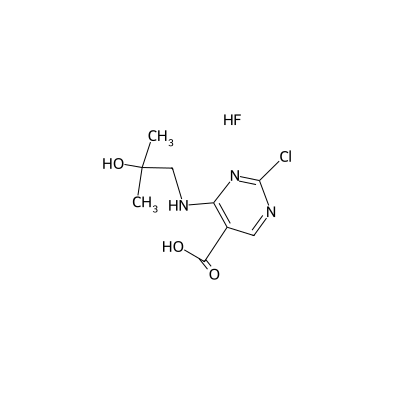 CC(C)(O)CNc1nc(Cl)ncc1C(=O)O.F